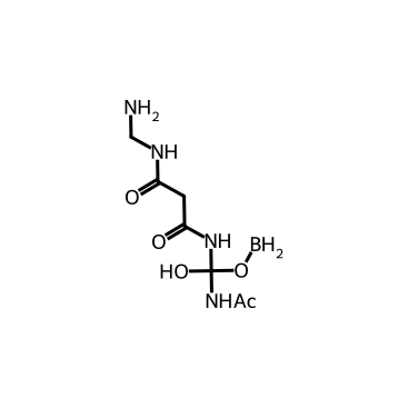 BOC(O)(NC(C)=O)NC(=O)CC(=O)NCN